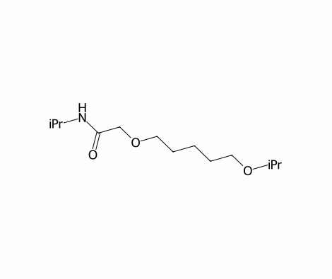 CC(C)NC(=O)COCCCCCOC(C)C